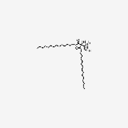 CCCCCCCCCCCCCCCC(=O)C(OP)(C(=O)CCCCCCCCCCCCCCC)C(O)CO